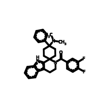 CN(C)C1(c2ccccc2)CCC2(CC1)c1[nH]c3ccccc3c1CCN2C(=O)c1ccc(F)c(F)c1